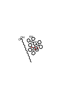 CCCCCCCCCCCCCCCCCC(=O)O.O=C(CC(CC(=O)[N+](C1CCCCC1)(C1CCCCC1)C1CCCCC1)C(=O)[N+](C1CCCCC1)(C1CCCCC1)C1CCCCC1)[N+](C1CCCCC1)(C1CCCCC1)C1CCCCC1.[KH]